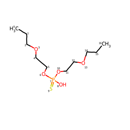 CCCOCCOP(O)(=S)OCCOCCC